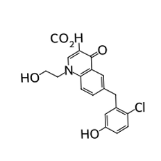 O=C(O)c1cn(CCO)c2ccc(Cc3cc(O)ccc3Cl)cc2c1=O